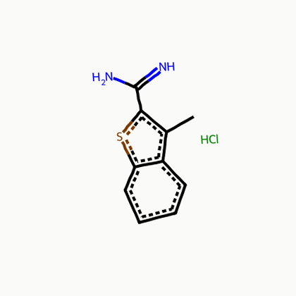 Cc1c(C(=N)N)sc2ccccc12.Cl